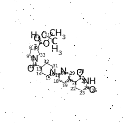 CC(C)(C)OC(=O)[C@@H]1CCN(C(=O)C2CCN(c3ccc(C4CCC(=O)NC4=O)cn3)CC2)C1